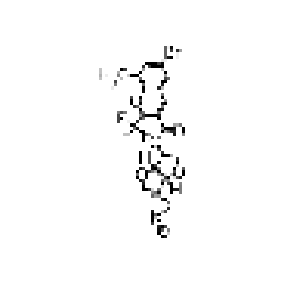 Cc1cc(Br)cc2c1O[C@H](C(F)(F)F)C(C(=O)O[C@H]1CO[C@H]3[C@@H]1OC[C@H]3ON=O)=C2